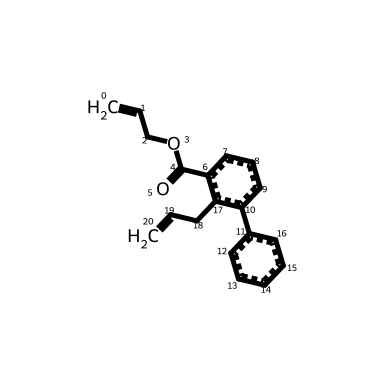 C=CCOC(=O)c1cccc(-c2ccccc2)c1CC=C